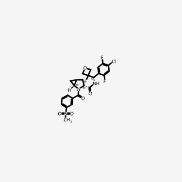 CS(=O)(=O)c1cccc(C(=O)N2[C@@H](C(=O)N[C@@H](c3cc(F)c(Cl)cc3F)C3(F)COC3)CC3C[C@H]32)c1